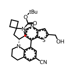 CC(C)(C)OC(=O)N1C[C@H](N2CCCc3cc(C#N)cc(-c4ccnc5cc(CO)sc45)c32)CC12CCC2